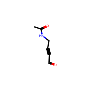 CC(=O)NCC#CC=O